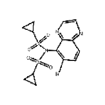 O=S(=O)(C1CC1)N(c1c(Br)ccc2nccnc12)S(=O)(=O)C1CC1